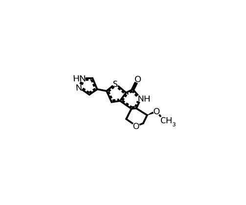 CO[C@H]1COCc2c1[nH]c(=O)c1sc(-c3cn[nH]c3)cc21